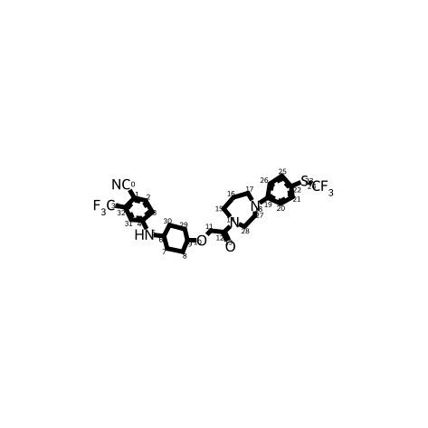 N#Cc1ccc(NC2CCC(OCC(=O)N3CCCN(c4ccc(SC(F)(F)F)cc4)CC3)CC2)cc1C(F)(F)F